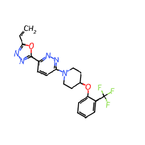 C=Cc1nnc(-c2ccc(N3CCC(Oc4ccccc4C(F)(F)F)CC3)nn2)o1